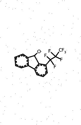 [O]C1c2ccccc2-c2cccc(C(F)(F)C(F)(F)C(F)(F)F)c21